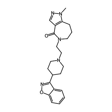 Cn1ncc2c1CCCN(CCN1CCC(c3noc4ccccc34)CC1)C2=O